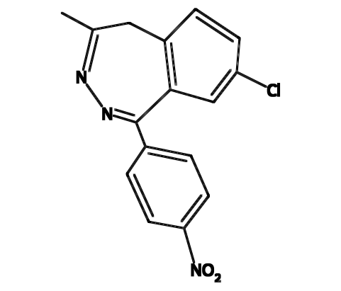 CC1=NN=C(c2ccc([N+](=O)[O-])cc2)c2cc(Cl)ccc2C1